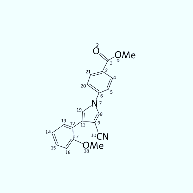 COC(=O)c1ccc(-n2cc(C#N)c(-c3ccccc3OC)c2)cc1